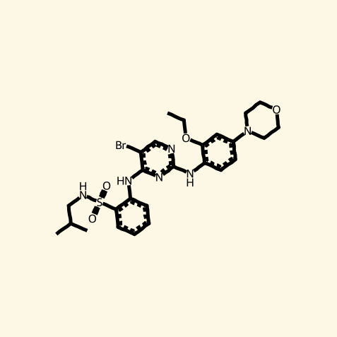 CCOc1cc(N2CCOCC2)ccc1Nc1ncc(Br)c(Nc2ccccc2S(=O)(=O)NCC(C)C)n1